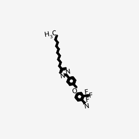 CCCCCCCCCCCc1cnc(-c2ccc(COc3ccc(C#N)c(C(F)(F)F)c3)cc2)nc1